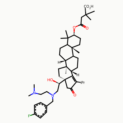 CC(C)C1=C2[C@H]3CCC4[C@@H](CCC5C(C)(C)[C@@H](OC(=O)CC(C)(C)C(=O)O)CC[C@]45C)[C@]3(C)CC[C@@]2([C@H](O)CN(CCN(C)C)Cc2ccc(F)cc2)CC1=O